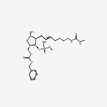 B[C@@H]1O[C@H](COC(=O)OCc2ccccc2)[C@H](OP(=O)(O)OC)C1C/C=C/CCCCNC(=S)NC